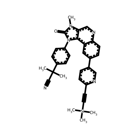 Cn1c(=O)n(-c2ccc(C(C)(C)C#N)cc2)c2c3cc(-c4ccc(C#C[Si](C)(C)C)nc4)ccc3ncc21